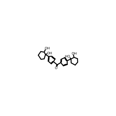 O=C(c1ccc(C2(O)CCCCC2O)cc1)c1ccc(C2(O)CCCCC2O)cc1